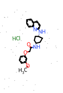 COc1cccc(OCC(=O)N[C@H]2CC[C@@H](Nc3ccc4ccccc4n3)CC2)c1.Cl